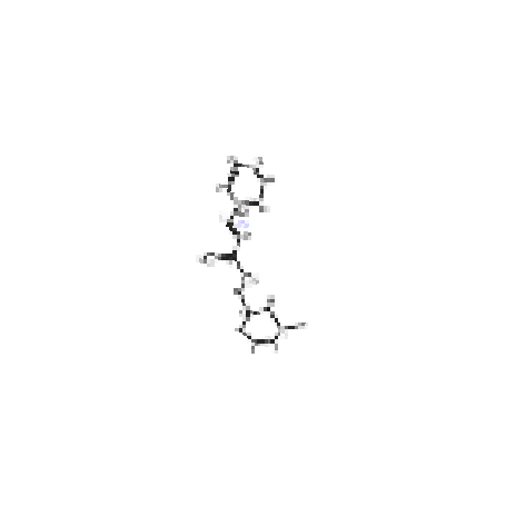 CC1C=CCC(COC(=O)/C=C/c2ccccc2)C1